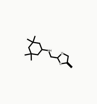 C=C1COC(CNC2CC(C)(C)CC(C)(C)C2)O1